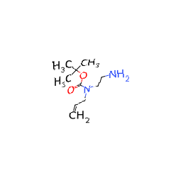 C=CCN(CCN)C(=O)OC(C)(C)C